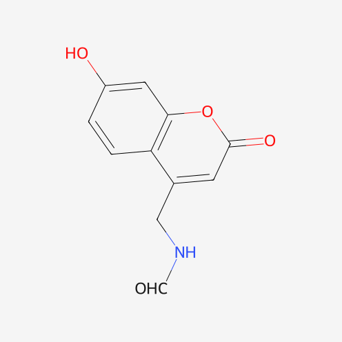 O=CNCc1cc(=O)oc2cc(O)ccc12